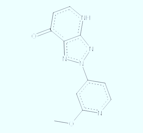 COc1cc(-n2nc3[nH]ccc(=O)c3n2)ccn1